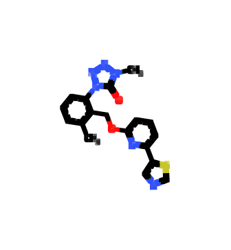 Cc1cccc(-n2nnn(C)c2=O)c1COc1cccc(-c2cncs2)n1